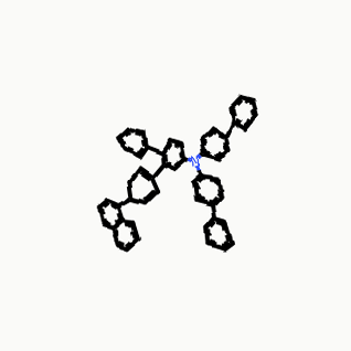 C1=CC(c2cccc3ccccc23)CC=C1c1cc(N(c2ccc(-c3ccccc3)cc2)c2ccc(-c3ccccc3)cc2)ccc1-c1ccccc1